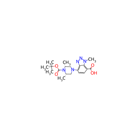 C[C@@H]1CN(c2ccc(C(=O)O)c3c2nnn3C)C[C@H](C)N1C(=O)OC(C)(C)C